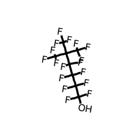 OC(F)(F)C(F)(F)C(F)(F)C(F)(F)C(C(F)(F)F)(C(F)(F)F)C(F)(F)F